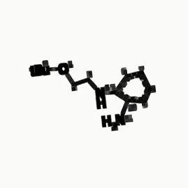 CC(C)(C)OCCNc1ccccc1N